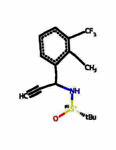 C#CC(N[S@@+]([O-])C(C)(C)C)c1cccc(C(F)(F)F)c1C